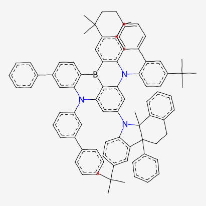 CC1CCC(C)(C)c2cc3c(cc21)N(c1ccc(C(C)(C)C)cc1C1=CC=C=C=C1)c1cc(N2c4ccc(C(C)(C)C)cc4C4(c5ccccc5)CCc5ccccc5C24C)cc2c1B3c1ccc(-c3ccccc3)cc1N2c1cccc(-c2ccccc2)c1